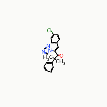 CC(C)(C(=O)C(=Cc1ccc(Cl)cc1)n1cncn1)c1ccccc1